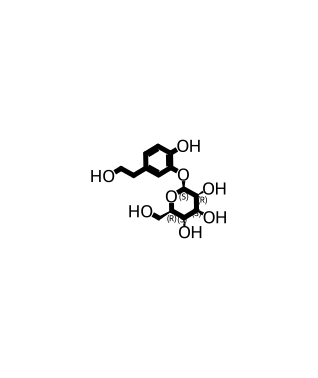 OCCc1ccc(O)c(O[C@@H]2O[C@H](CO)[C@@H](O)[C@H](O)[C@H]2O)c1